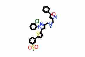 CN(Cc1cc(-c2ccccc2)on1)Cc1cc(-c2ccc(-c3cccc(S(C)(=O)=O)c3)s2)n(-c2ccccc2Cl)n1